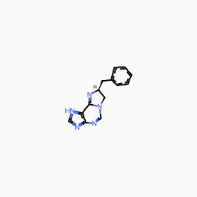 C1=Nc2nc[nH]c2C2=N[C@@H](Cc3ccccc3)CN12